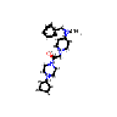 CN(Cc1ccccc1)C1CCN(CC(=O)N2CCN(C3CCCC3)CC2)CC1